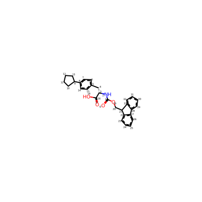 O=C(N[C@@H](Cc1ccc(C2CCCC2)cc1)C(=O)O)OCC1c2ccccc2-c2ccccc21